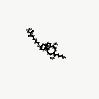 CC(C)CCC[C@@H](C)C1CCC[C@H]2C(CC=C3C[C@@H](OCCOCCNC(=O)OC(C)(C)C)CCC32C)[C@@H](C)CC1